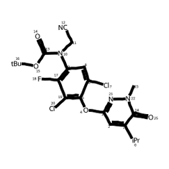 CC(C)c1cc(Oc2c(Cl)cc(N(CC#N)C(=O)OC(C)(C)C)c(F)c2Cl)nn(C)c1=O